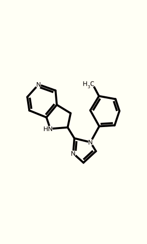 Cc1cccc(-n2ccnc2C2Cc3cnccc3N2)c1